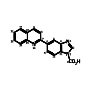 O=C(O)n1cnc2cc(-c3ccc4ccccc4n3)ccc21